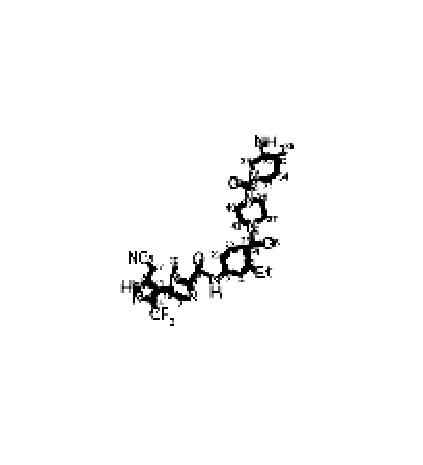 CCc1cc(NC(=O)c2ncc(-c3c(C(F)(F)F)n[nH]c3CC#N)n2C)ccc1C(=O)N1CCN(C(=O)N2CC[C@H](C)[C@H](N)C2)CC1